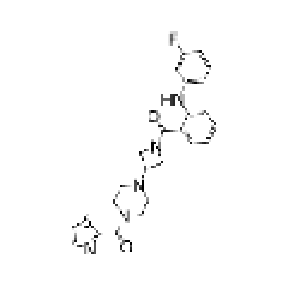 O=C(c1nccs1)N1CCN(C2CN(C(=O)c3ccccc3Nc3cccc(F)c3)C2)CC1